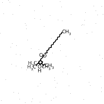 CCCCCCCCCCCCCCCCCCOC(=O)CCc1cc(C(C)CC)c(O)c(C(C)CC)c1